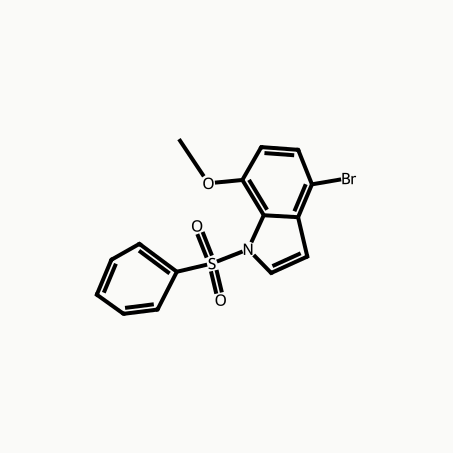 COc1ccc(Br)c2ccn(S(=O)(=O)c3ccccc3)c12